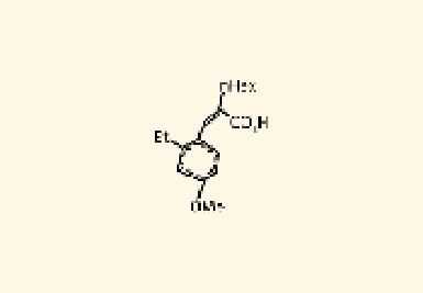 CCCCCCC(=Cc1ccc(OC)cc1CC)C(=O)O